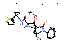 CCc1cc2c(c(OC(C)C)c(C(=O)NC3(c4cccs4)CC3)n2C)c(=O)n1-c1ccc(F)cc1